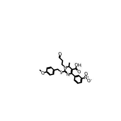 COc1ccc(CSC2=NC(c3cccc([N+](=O)[O-])c3)=C(C(=O)O)C(C)N2CCC=O)cc1